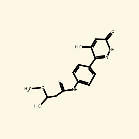 COC(C)CC(=O)Nc1ccc(-c2n[nH]c(=O)cc2C)cc1